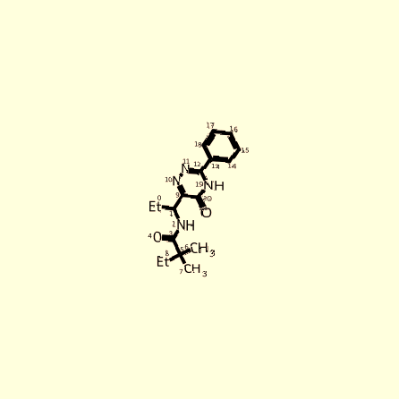 CCC(NC(=O)C(C)(C)CC)c1nnc(-c2ccccc2)[nH]c1=O